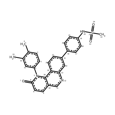 Cc1ccc(-n2c(=O)ccc3cnc4cc(-c5ccc(NS(C)(=O)=O)cc5)ccc4c32)cc1N